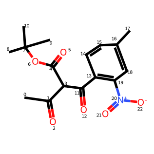 CC(=O)C(C(=O)OC(C)(C)C)C(=O)c1ccc(C)cc1[N+](=O)[O-]